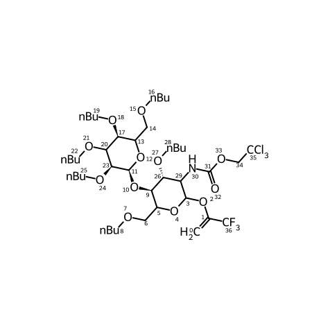 C=C(OC1OC(COCCCC)[C@@H](O[C@@H]2OC(COCCCC)[C@H](OCCCC)C(OCCCC)[C@@H]2OCCCC)[C@H](OCCCC)C1NC(=O)OCC(Cl)(Cl)Cl)C(F)(F)F